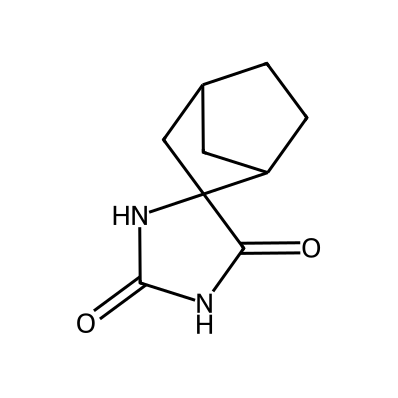 O=C1NC(=O)C2(CC3CCC2C3)N1